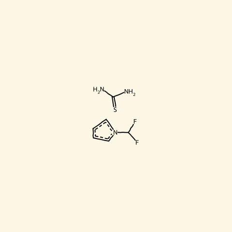 FC(F)n1cccc1.NC(N)=S